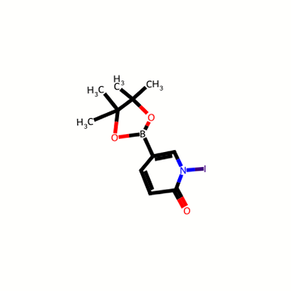 CC1(C)OB(c2ccc(=O)n(I)c2)OC1(C)C